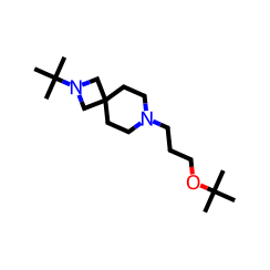 CC(C)(C)OCCCN1CCC2(CC1)CN(C(C)(C)C)C2